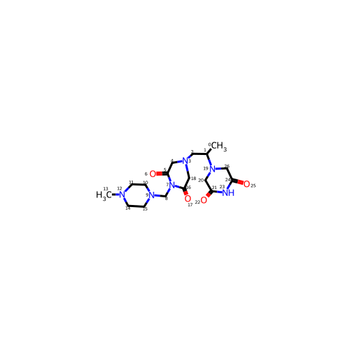 CC(CN1CC(=O)N(CN2CCN(C)CC2)C(=O)C1)N1CC(=O)NC(=O)C1